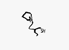 CCC(CS)CCN1CCCC1